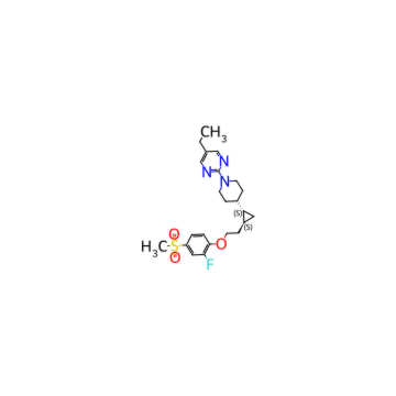 CCc1cnc(N2CCC([C@@H]3C[C@H]3CCOc3ccc(S(C)(=O)=O)cc3F)CC2)nc1